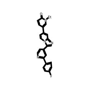 CCn1cc(-c2ccn3c(-c4ccnc(-c5ccc(F)cc5)c4)cnc3c2)ccc1=O